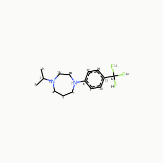 CC(C)N1CCCN(c2ccc(C(F)(F)F)cc2)CC1